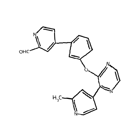 Cc1cc(-c2nccnc2Oc2cccc(-c3ccnc(C=O)c3)c2)ccn1